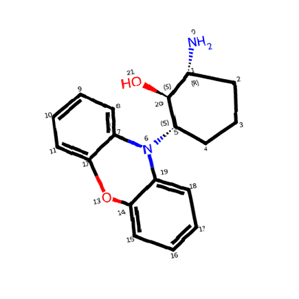 N[C@@H]1CCC[C@H](N2c3ccccc3Oc3ccccc32)[C@H]1O